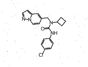 O=C(Nc1ccc(Cl)cc1)N(Cc1ccn2nccc2c1)C1CCC1